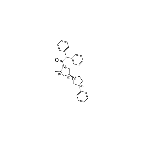 C[C@@H]1C[C@H](N2CC[C@H](c3ccccc3)C2)CN1C(=O)C(c1ccccc1)c1ccccc1